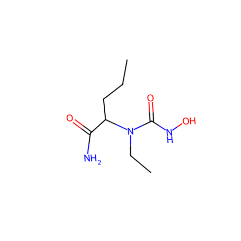 CCCC(C(N)=O)N(CC)C(=O)NO